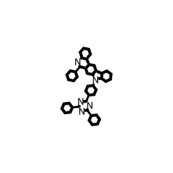 c1ccc(-c2nc(-c3ccccc3)nc(-c3ccc(-n4c5ccccc5c5cc6c(cc54)c(-c4ccccc4)nc4ccccc46)cc3)n2)cc1